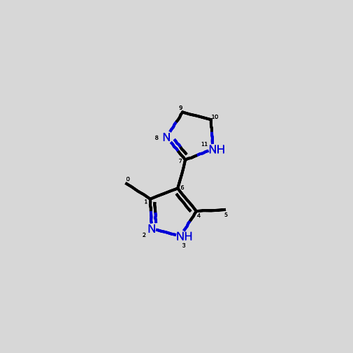 Cc1n[nH]c(C)c1C1=NCCN1